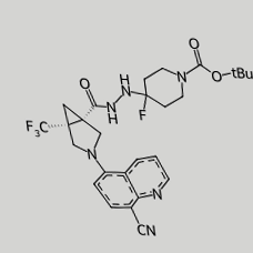 CC(C)(C)OC(=O)N1CCC(F)(NNC(=O)[C@]23CN(c4ccc(C#N)c5ncccc45)C[C@@]2(C(F)(F)F)C3)CC1